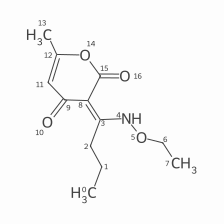 CCCC(NOCC)=C1C(=O)C=C(C)OC1=O